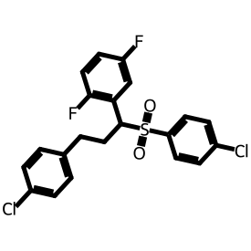 O=S(=O)(c1ccc(Cl)cc1)C(CCc1ccc(Cl)cc1)c1cc(F)ccc1F